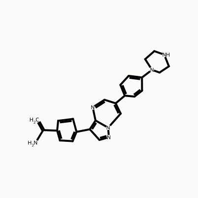 C=C(N)c1ccc(-c2cnn3cc(-c4ccc(N5CCNCC5)cc4)cnc23)cc1